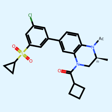 CC(=O)N1c2ccc(-c3cc(Cl)cc(S(=O)(=O)C4CC4)c3)cc2N(C(=O)C2CCC2)C[C@@H]1C